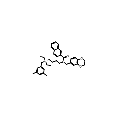 CC[N+](CC)(CCCCN(Cc1ccc2c(c1)OCCO2)C(=O)c1ccc2ccccc2c1)Cc1cc(C)cc(C)c1